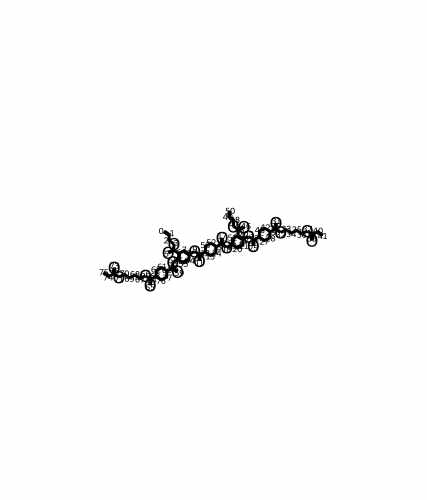 C=CCOC(=O)c1cc(OC(=O)C2CCC(C(=O)Oc3ccc(OC(=O)C4CCC(C(=O)OCCCCOC(=O)C=C)CC4)c(C(=O)OCC=C)c3)CC2)ccc1OC(=O)C1CCC(C(=O)OCCCCOC(=O)C=C)CC1